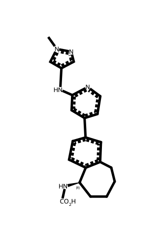 Cn1cc(Nc2cc(-c3ccc4c(c3)CCCC[C@H]4NC(=O)O)ccn2)cn1